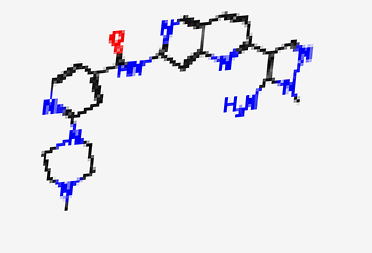 CN1CCN(c2cc(C(=O)Nc3cc4nc(-c5cnn(C)c5N)ccc4cn3)ccn2)CC1